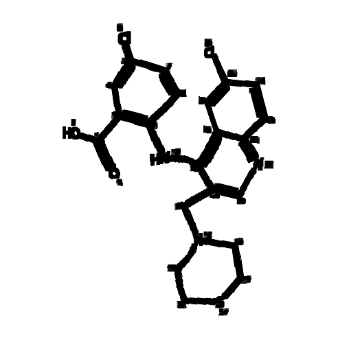 O=C(O)c1cc(Cl)ccc1Nc1c(CN2CCSCC2)cnc2ccc(Cl)cc12